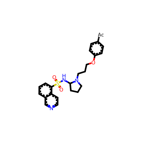 CC(=O)c1ccc(OCCCN2CCCC2NS(=O)(=O)c2cccc3cnccc23)cc1